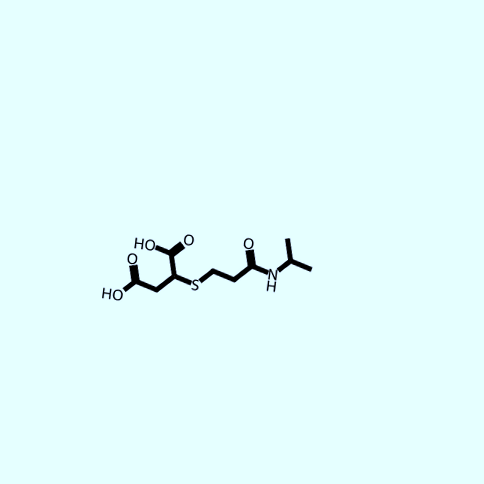 CC(C)NC(=O)CCSC(CC(=O)O)C(=O)O